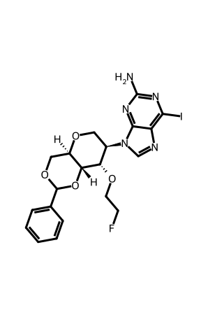 Nc1nc(I)c2ncn([C@@H]3CO[C@@H]4COC(c5ccccc5)O[C@H]4[C@H]3OCCF)c2n1